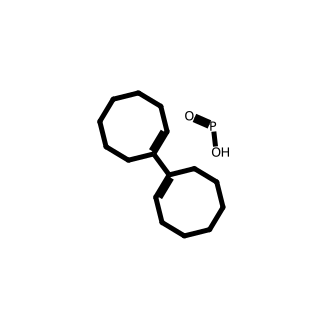 C1=C(C2=CCCCCCC2)CCCCCC1.O=PO